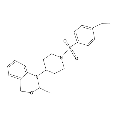 CCc1ccc(S(=O)(=O)N2CCC(N3c4ccccc4COC3C)CC2)cc1